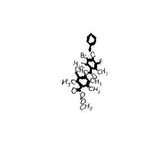 CCc1c(C)c(C(=O)OCOC)c(C)c(C)c1OC(=O)c1c(C)c(F)c(OCc2ccccc2)c(Br)c1C